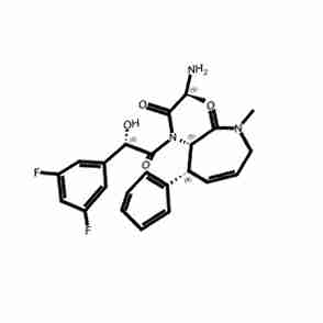 C[C@H](N)C(=O)N(C(=O)[C@@H](O)c1cc(F)cc(F)c1)[C@@H]1C(=O)N(C)CC=C[C@@H]1c1ccccc1